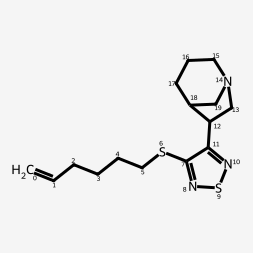 C=CCCCCSc1nsnc1C1CN2CCCC1C2